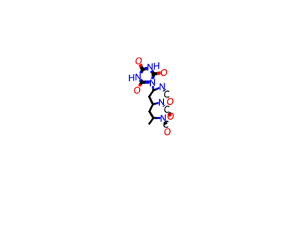 CC(CC(CC(N=C=O)n1c(=O)[nH]c(=O)[nH]c1=O)N=C=O)N=C=O